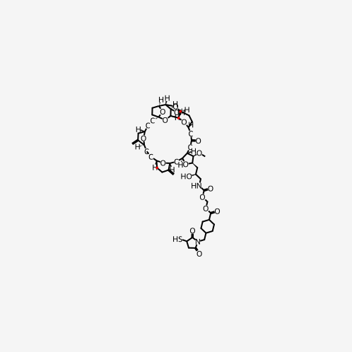 C=C1C[C@@H]2CC[C@]34CC[C@H](O3)[C@@H]3O[C@H]5CC[C@H](CC(=O)C[C@@H]6[C@@H](OC)[C@@H](C[C@H](O)CNC(=O)OCOC(=O)C7CCC(CN8C(=O)CC(S)C8=O)CC7)O[C@H]6C[C@H]6O[C@H](CCC6=C)CC[C@@H]1O2)O[C@@H]5[C@H](O4)[C@@H]3O